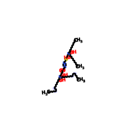 CCCCC/C=C\C/C=C\CCCCCCC(O)CN(CCCCC(=O)OCCN1CCN(CCSSCCCN(CC(O)CCCCCCCCCC)CC(O)CCCCCCCCCC)CC1)CC(O)CCCCCC/C=C\C/C=C\CCCCC